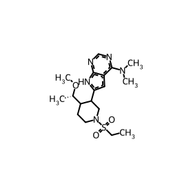 CCS(=O)(=O)N1CCC([C@H](C)OC)C(c2cc3c(N(C)C)ncnc3[nH]2)C1